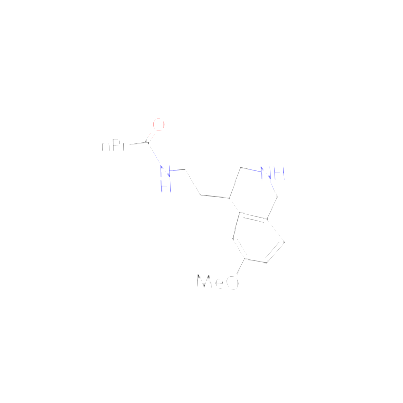 CCCC(=O)NCCC1CNCc2ccc(OC)cc21